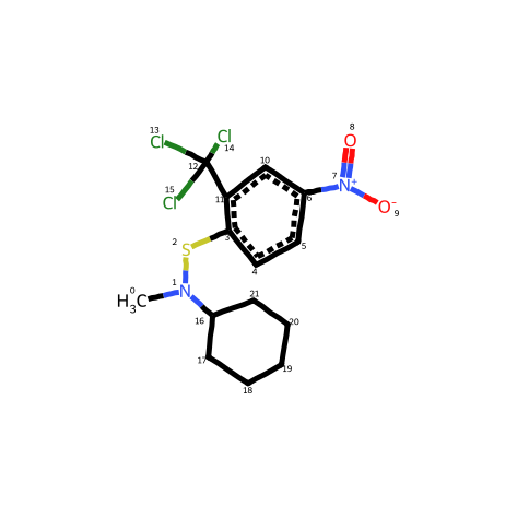 CN(Sc1ccc([N+](=O)[O-])cc1C(Cl)(Cl)Cl)C1CCCCC1